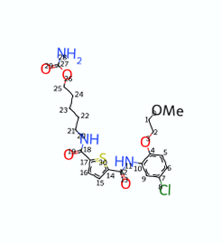 COCCOc1ccc(Cl)cc1NC(=O)c1ccc(C(=O)NCCCCCOC(N)=O)s1